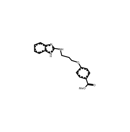 COC(=O)c1ccc(OCCCNc2nc3ccccc3[nH]2)cc1